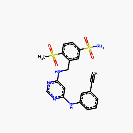 C#Cc1cccc(Nc2cc(NCc3cc(S(N)(=O)=O)ccc3S(C)(=O)=O)ncn2)c1